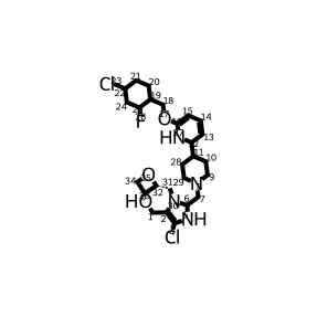 OCC1=C(Cl)NC(CN2CCC(C3C=CC=C(OCC4CCC(Cl)CC4F)N3)CC2)N1C[C@@H]1CCO1